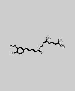 COc1cc(C=CC=CC(=O)OCC=C(C)CCC=C(C)C)ccc1O